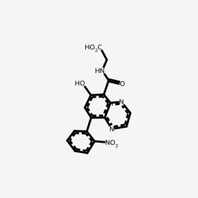 O=C(O)CNC(=O)c1c(O)cc(-c2ccccc2[N+](=O)[O-])c2nccnc12